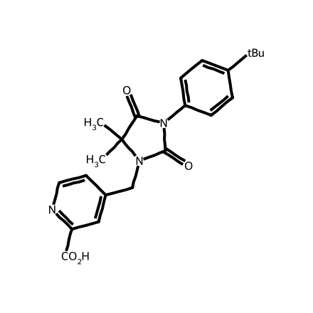 CC(C)(C)c1ccc(N2C(=O)N(Cc3ccnc(C(=O)O)c3)C(C)(C)C2=O)cc1